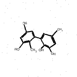 Cc1cc(O)c(O)c(-c2cc(O)cc(O)c2C)c1